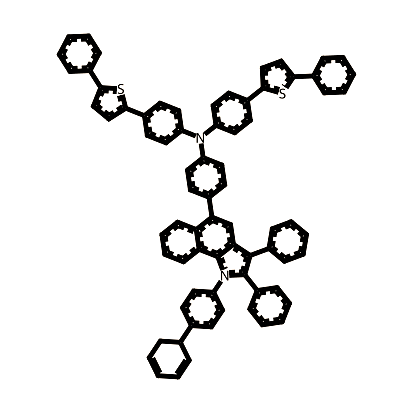 C1=CCC(c2ccc(-n3c(-c4ccccc4)c(-c4ccccc4)c4cc(-c5ccc(N(c6ccc(-c7ccc(-c8ccccc8)s7)cc6)c6ccc(-c7ccc(-c8ccccc8)s7)cc6)cc5)c5ccccc5c43)cc2)C=C1